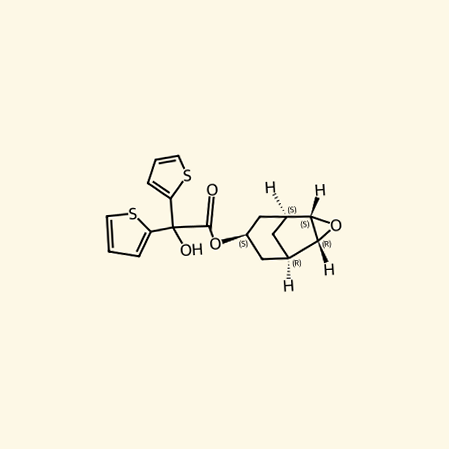 O=C(O[C@@H]1C[C@H]2C[C@@H](C1)[C@@H]1O[C@H]21)C(O)(c1cccs1)c1cccs1